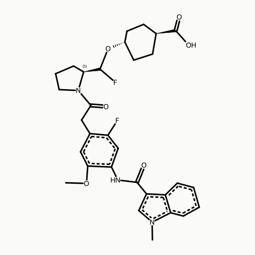 COc1cc(CC(=O)N2CCC[C@H]2C(F)O[C@H]2CC[C@H](C(=O)O)CC2)c(F)cc1NC(=O)c1cn(C)c2ccccc12